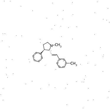 Cc1cccc(/C=C/[C@@H]2[C@@H](c3ccccc3)CCN2C)c1